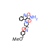 COCc1ccc2oc(C3(C)CCN(c4c(C(N)=O)c(=O)n(C)c5ccccc45)CC3)nc2c1